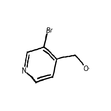 [O]Cc1ccncc1Br